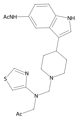 CC(=O)CN(CN1CCC(c2c[nH]c3ccc(NC(C)=O)cc23)CC1)c1cscn1